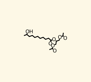 CC(=O)OCC(COC(C)=O)OC(=O)CCCCCCCCC(C)O